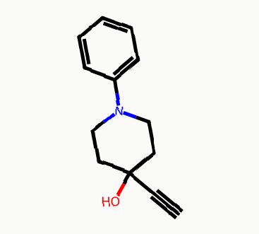 C#CC1(O)CCN(c2ccccc2)CC1